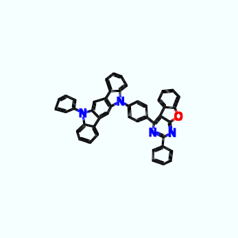 c1ccc(-c2nc(-c3ccc(-n4c5ccccc5c5cc6c(cc54)c4ccccc4n6-c4ccccc4)cc3)c3c(n2)oc2ccccc23)cc1